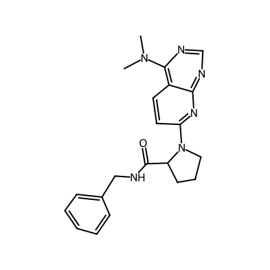 CN(C)c1ncnc2nc(N3CCCC3C(=O)NCc3ccccc3)ccc12